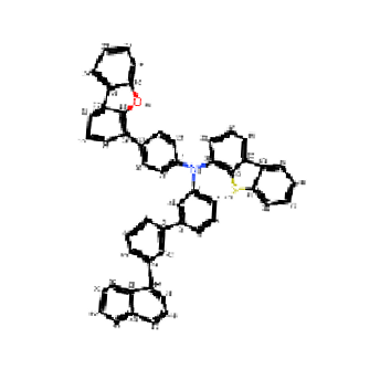 c1cc(-c2cccc(N(c3ccc(-c4cccc5c4oc4ccccc45)cc3)c3cccc4c3sc3ccccc34)c2)cc(-c2cccc3ccccc23)c1